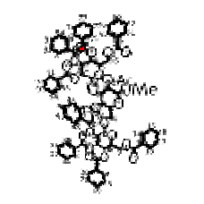 COC1OC(COC2OC(COC(=O)c3ccccc3)C(OC(=O)c3ccccc3)C(OC(=O)c3ccccc3)C2OC(=O)c2ccccc2)C(OC(C)=O)C(OC2OC(COC(=O)c3ccccc3)C(OC(=O)c3ccccc3)C(OC(=O)c3ccccc3)C2OC(=O)c2ccccc2)C1OC(C)=O